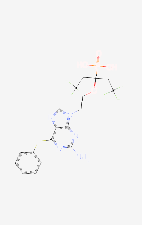 Nc1nc(Sc2ccccc2)c2ncn(CCOC(CC(F)(F)F)(CC(F)(F)F)P(=O)(O)O)c2n1